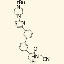 CC(C)CC(C(=O)NCC#N)c1cccc(-c2cccc(-c3csc(N4CCN(C(C)(C)C)CC4)n3)c2)c1